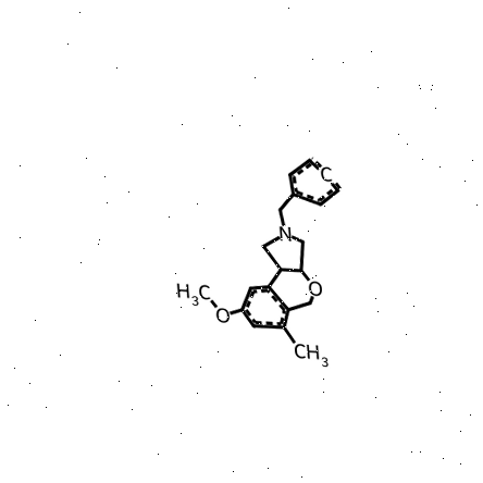 COc1cc(C)c2c(c1)C1CN(Cc3ccccc3)CC1OC2